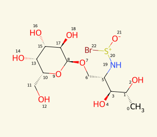 C[C@@H](O)[C@@H](O)[C@H](CO[C@H]1O[C@H](CO)[C@H](O)[C@H](O)[C@H]1O)N[S+]([O-])Br